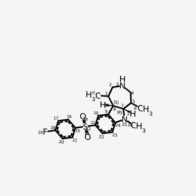 CC1CNCC(C)[C@H]2[C@@H]1c1cc(S(=O)(=O)c3ccc(F)cc3)ccc1N2C